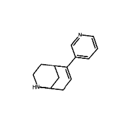 C1=C(c2cccnc2)C2CCNC(C1)C2